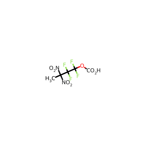 CC([N+](=O)[O-])([N+](=O)[O-])C(F)(F)C(F)(F)OC(=O)O